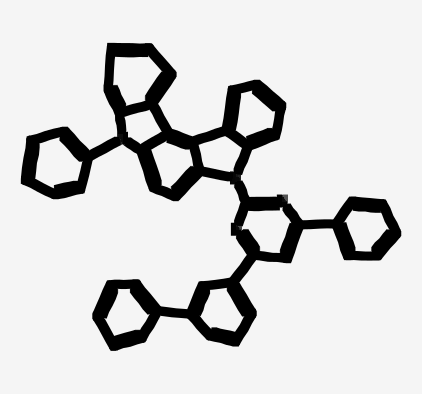 c1ccc(-c2cccc(-c3cc(-c4ccccc4)nc(-n4c5ccccc5c5c6c7ccccc7n(-c7ccccc7)c6ccc54)n3)c2)cc1